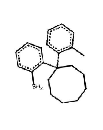 Bc1ccccc1C1(c2ccccc2C)CCCCCCC1